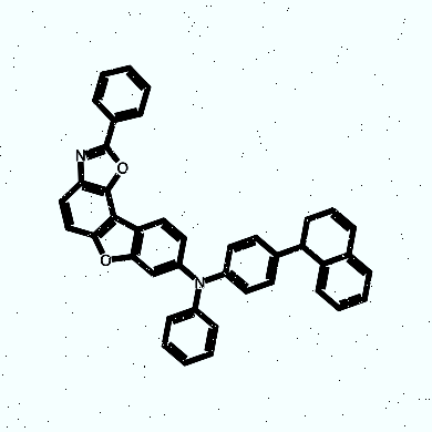 C1=Cc2ccccc2C(c2ccc(N(c3ccccc3)c3ccc4c(c3)oc3ccc5nc(-c6ccccc6)oc5c34)cc2)C1